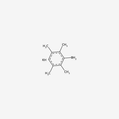 Bc1c(C)c(C)cc(C)c1C.[KH]